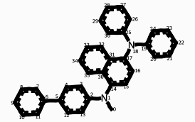 CN(c1ccc(-c2ccccc2)cc1)c1ccc(N(c2ccccc2)c2ccccc2)c2ccccc12